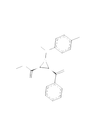 C=C(c1ccccc1)[C@H]1[C@@H](C(=O)OC)N1[S+]([O-])c1ccc(C)cc1